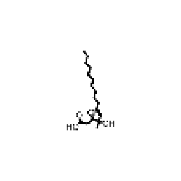 CCCCCCCCCCCCC(C)(O)C(O)CC(=O)O